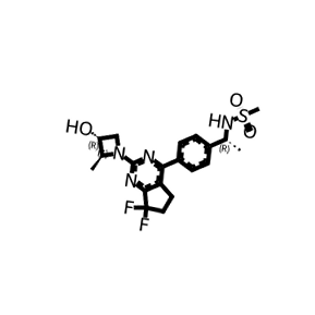 C[C@@H](NS(C)(=O)=O)c1ccc(-c2nc(N3C[C@@H](O)[C@@H]3C)nc3c2CCC3(F)F)cc1